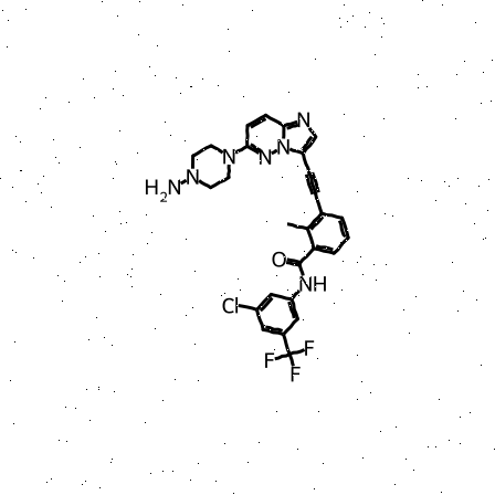 Cc1c(C#Cc2cnc3ccc(N4CCN(N)CC4)nn23)cccc1C(=O)Nc1cc(Cl)cc(C(F)(F)F)c1